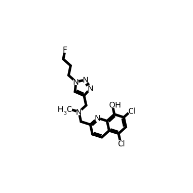 CN(Cc1cn(CCCF)nn1)Cc1ccc2c(Cl)cc(Cl)c(O)c2n1